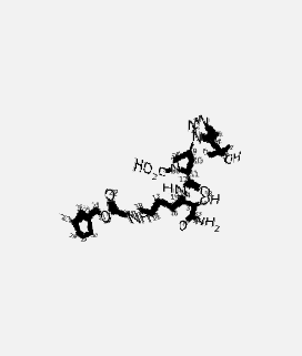 CC(C)(O)c1cnnn1[C@H]1C[C@@H](C(=O)NC(CCCCNC(=O)OCc2ccccc2)C(O)C(N)=O)N(C(=O)O)C1